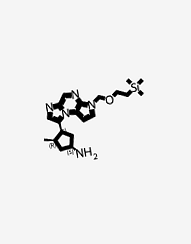 C[C@@H]1C[C@H](N)C[C@@H]1c1cnc2cnc3c(ccn3COCC[Si](C)(C)C)n12